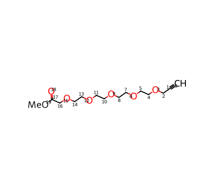 C#CCOCCOCCOCCOCCOCC(=O)OC